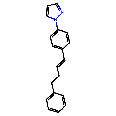 C(=Cc1ccc(-n2cccn2)cc1)CCc1ccccc1